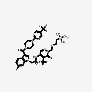 CC(Cn1cc(C(=O)N2CCN(c3ncc(C(F)(F)F)cn3)CC2)c2ccc(F)cc21)Nc1cnn(COCC[Si](C)(C)C)c(=O)c1C(F)(F)F